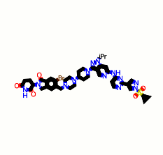 CC(C)n1nc(N2CCC(N3CCN(Cc4cc5c(cc4Br)C(=O)N(C4CCC(=O)NC4=O)C5)CC3)CC2)c2cnc(Nc3ccnc(-c4cnn(S(=O)(=O)C5CC5)c4)n3)cc21